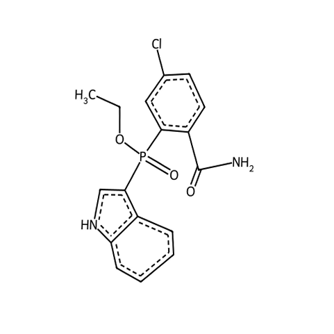 CCOP(=O)(c1cc(Cl)ccc1C(N)=O)c1c[nH]c2ccccc12